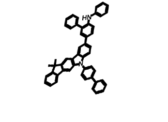 CC1(C)c2ccccc2-c2cc3c(cc21)c1cc(-c2ccc(Nc4ccccc4)c(-c4ccccc4)c2)ccc1n3-c1ccc(-c2ccccc2)cc1